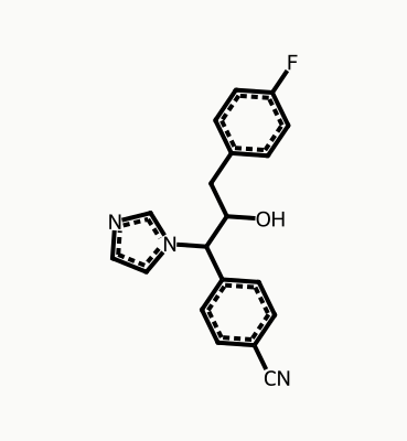 N#Cc1ccc(C(C(O)Cc2ccc(F)cc2)n2ccnc2)cc1